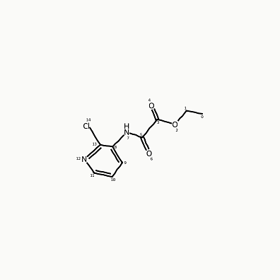 CCOC(=O)C(=O)Nc1cccnc1Cl